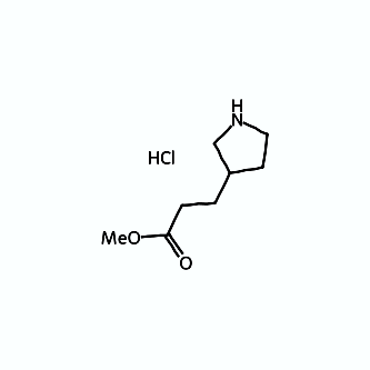 COC(=O)CCC1CCNC1.Cl